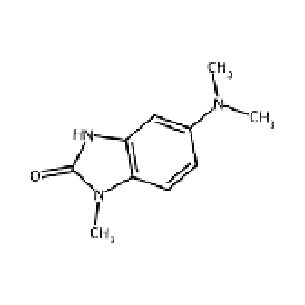 CN(C)c1ccc2c(c1)[nH]c(=O)n2C